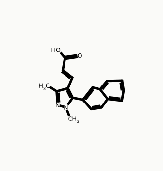 Cc1nn(C)c(-c2ccc3ccccc3c2)c1/C=C/C(=O)O